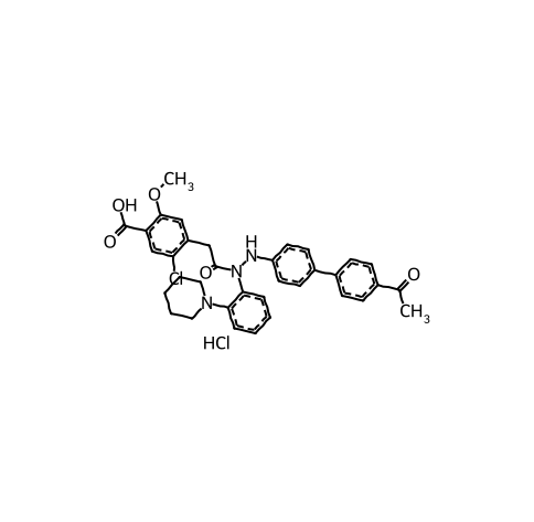 COc1cc(CC(=O)N(Nc2ccc(-c3ccc(C(C)=O)cc3)cc2)c2ccccc2N2CCCCC2)c(Cl)cc1C(=O)O.Cl